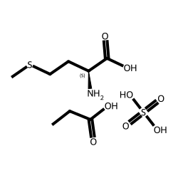 CCC(=O)O.CSCC[C@H](N)C(=O)O.O=S(=O)(O)O